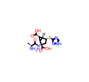 C[C@H](N)C(=O)N[C@@]1(C(=O)O)C[C@@H](Sc2nc[nH]n2)[C@@H]2C1[C@H]2C(=O)O